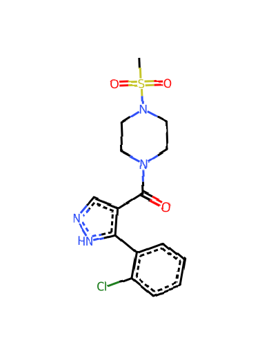 CS(=O)(=O)N1CCN(C(=O)c2cn[nH]c2-c2ccccc2Cl)CC1